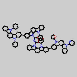 C1=CC2C3=C(C=CC4C3c3ccc(-c5ccc6c7ccc8c9ccccc9n(-c9cccc(-n%10c%11ccc(C%12=CC%13C(C=C%12)c%12c(ccc%14c%15ccccc%15n(-c%15ccccc%15)c%12%14)N%13c%12ccccc%12)cc%11c%11ccc%12c%13ccccc%13n(-c%13ccccc%13)c%12c%11%10)n9)c8c7n(-c7ccccc7)c6c5)cc3N4c3ccco3)N(c3ccccn3)C2C=C1